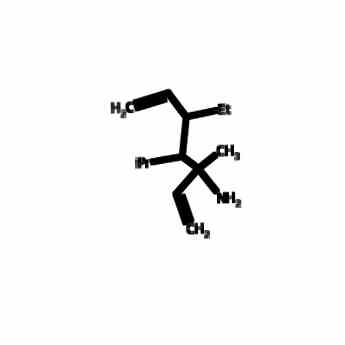 C=CC(CC)C(C(C)C)C(C)(N)C=C